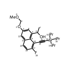 COCOc1cc(C(C)O)c2c(C#C[Si](C(C)C)(C(C)C)C(C)C)c(F)ccc2c1